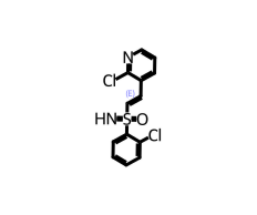 N=S(=O)(/C=C/c1cccnc1Cl)c1ccccc1Cl